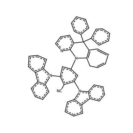 N#Cc1c(-n2c3ccccc3c3ccccc32)cc(N2C3=C(C=CC=CC3)C(c3ccccc3)(c3ccccc3)c3cccnc32)cc1-n1c2ccccc2c2ccccc21